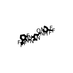 O=C(Nc1cc(C(F)(F)F)ccn1)c1cc2[nH]c(Nc3c(F)cccc3C(F)(F)F)nc2cn1